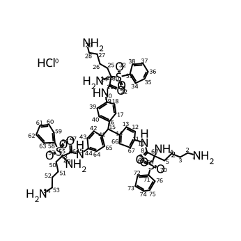 Cl.NCCCC[C@@](N)(C(=O)Nc1ccc(C(c2ccc(NC(=O)[C@](N)(CCCCN)S(=O)(=O)c3ccccc3)cc2)c2ccc(NC(=O)[C@](N)(CCCCN)S(=O)(=O)c3ccccc3)cc2)cc1)S(=O)(=O)c1ccccc1